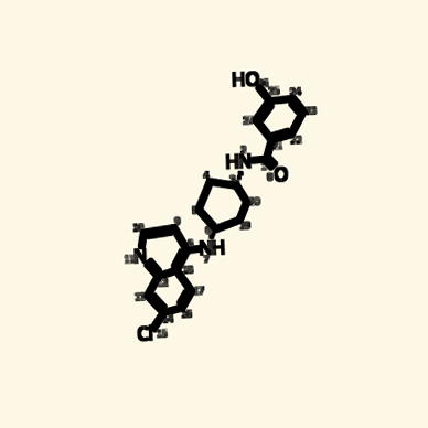 O=C(N[C@H]1CC[C@@H](Nc2ccnc3cc(Cl)ccc23)CC1)c1cccc(O)c1